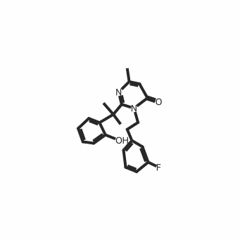 Cc1cc(=O)n(CCc2cccc(F)c2)c(C(C)(C)c2ccccc2O)n1